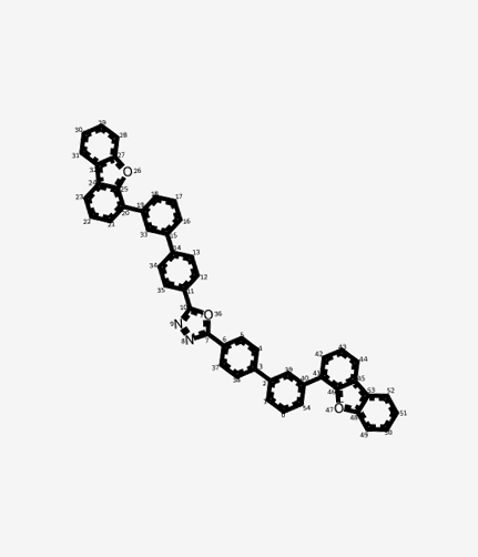 c1cc(-c2ccc(-c3nnc(-c4ccc(-c5cccc(-c6cccc7c6oc6ccccc67)c5)cc4)o3)cc2)cc(-c2cccc3c2oc2ccccc23)c1